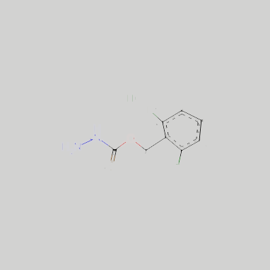 Cl.NNC(=S)OCc1c(F)cccc1F